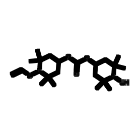 C=CON1C(C)(C)CC(OC(=O)OC2CC(C)(C)N(O)C(C)(C)C2)CC1(C)C